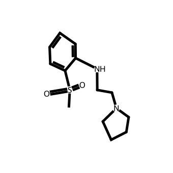 CS(=O)(=O)c1ccccc1NCCN1CCCC1